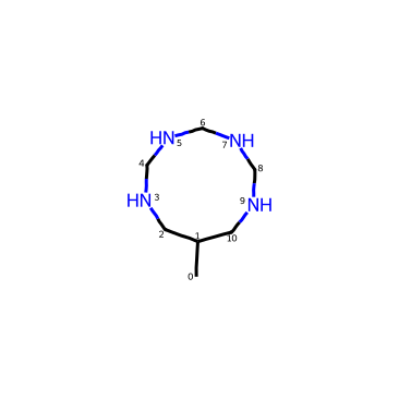 CC1CNCNCNCNC1